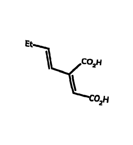 CC/C=C/C(=C/C(=O)O)C(=O)O